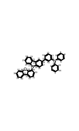 c1ccc(N(c2ccccc2)c2cccc(-c3ccc4c(c3)c3ccccc3n4-c3cccc4c3oc3ccccc34)c2)cc1